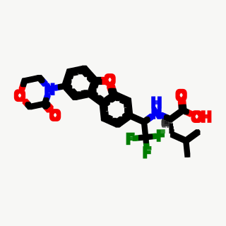 CC(C)C[C@H](NC(c1ccc2c(c1)oc1ccc(N3CCOCC3=O)cc12)C(F)(F)F)C(=O)O